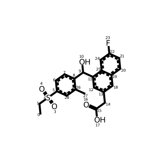 CCS(=O)(=O)c1ccc(C(O)c2cc(CC(=O)O)cc3ccc(F)cc23)c(C)c1